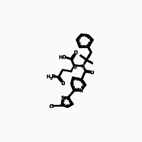 CC(C)(Cc1ccccc1)N(C(=O)c1ccc(-c2ccc(Cl)s2)nc1)[C@@H](CCC(N)=O)C(=O)O